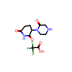 O=C(O)C(F)(F)F.O=C1CCC(N2CCNCC2=O)C(=O)N1